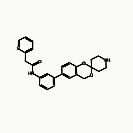 O=C(Cc1ccccn1)Nc1cccc(-c2ccc3c(c2)COC2(CCNCC2)O3)c1